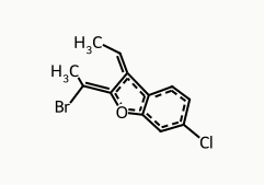 C/C=c1\c(=C(/C)Br)oc2cc(Cl)ccc12